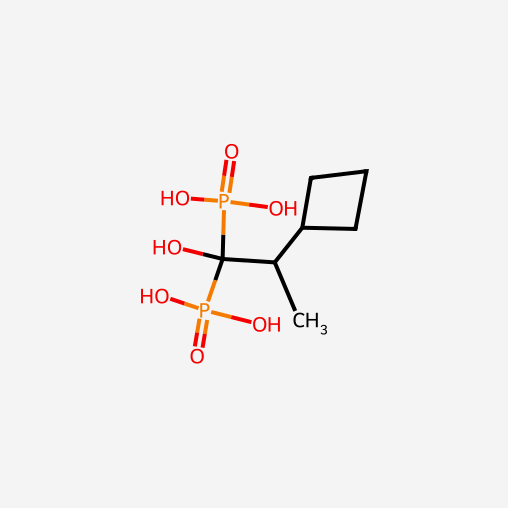 CC(C1CCC1)C(O)(P(=O)(O)O)P(=O)(O)O